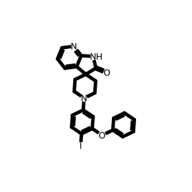 O=C1Nc2ncccc2C12CCN(c1ccc(I)c(Oc3ccccc3)c1)CC2